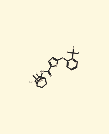 C[C@H]1[C@H](NC(=O)c2ccc(Sc3ccccc3C(F)(F)F)s2)C2CCN1CC2